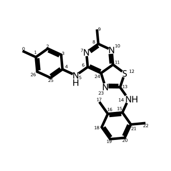 Cc1ccc(Nc2nc(C)nc3sc(Nc4c(C)cccc4C)nc23)cc1